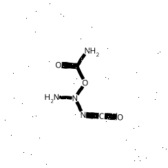 NC(=O)ON(N)N=C=O